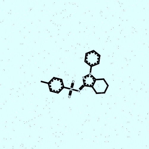 Cc1ccc(S(=O)(=O)/N=c2\sn(-c3ccccc3)c3c2CCCC3)cc1